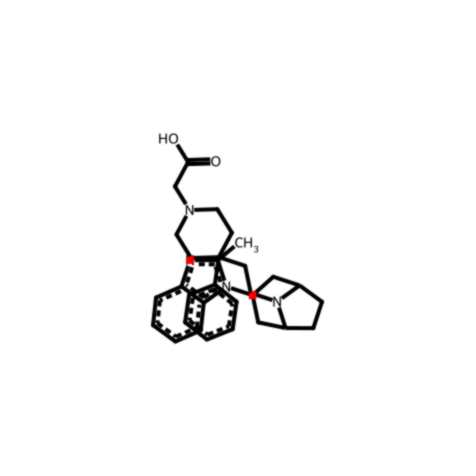 Cc1nc2ccccc2n1C1CC2CCC(C1)N2CCC1(c2ccccc2)CCN(CC(=O)O)CC1